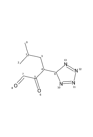 C[C](C)CC(C(=O)C=O)C1N=NN=N1